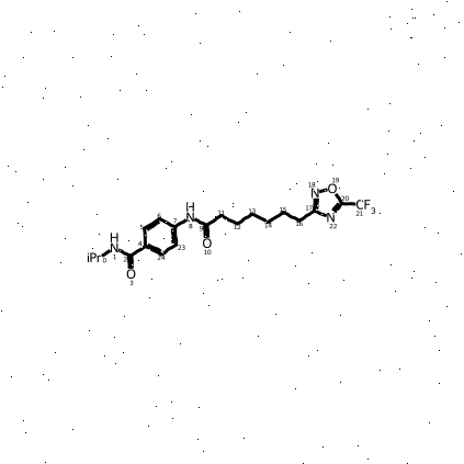 CC(C)NC(=O)c1ccc(NC(=O)CCCCCCc2noc(C(F)(F)F)n2)cc1